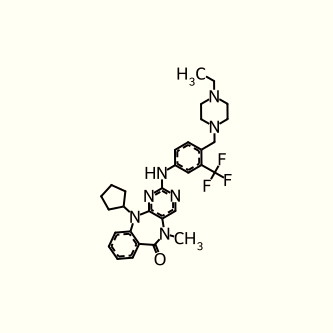 CCN1CCN(Cc2ccc(Nc3ncc4c(n3)N(C3CCCC3)c3ccccc3C(=O)N4C)cc2C(F)(F)F)CC1